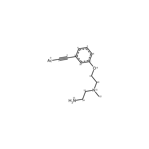 CC(=O)C#Cc1cccc(OCCN(C)CCN)c1